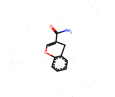 NC(=O)C1=COc2ccccc2C1